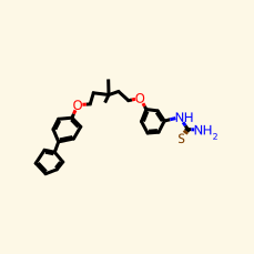 CC(C)(CCOc1ccc(-c2ccccc2)cc1)CCOc1cccc(NC(N)=S)c1